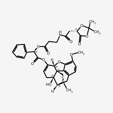 COc1ccc2c3c1O[C@H]1C(OC(=O)[C@H](OC(=O)CCNC(=O)C[C@@H]4OC(C)(C)OC4=O)c4ccccc4)=CC[C@@]4(O)[C@@H](C2)N(C)CC[C@]314